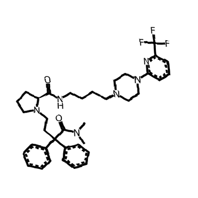 CN(C)C(=O)C(CCN1CCC[C@H]1C(=O)NCCCCN1CCN(c2cccc(C(F)(F)F)n2)CC1)(c1ccccc1)c1ccccc1